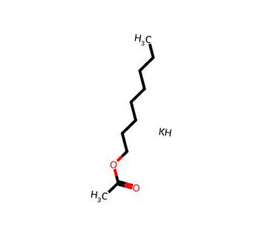 CCCCCCCCOC(C)=O.[KH]